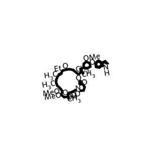 CCC1/C=C(\C)CC(C)CC(OC)C2OC(O)(C(=O)C(=O)N3CCCCC3C(=O)OC(C(C)=CC3CCC(Oc4ccc5[nH]ccc5c4)C(OC)C3)C(C)CCC1=O)C(C)CC2OC